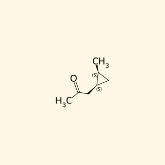 CC(=O)C[C@@H]1C[C@@H]1C